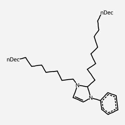 CCCCCCCCCCCCCCCCCCC1N(CCCCCCCCCCCCCCCCC)C=CN1c1ccccc1